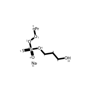 CCCOOS(=O)(=S)OCCCO.[Na]